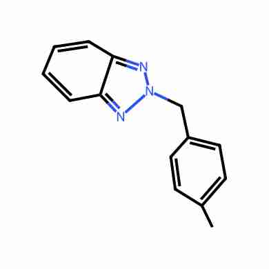 Cc1ccc(Cn2nc3ccccc3n2)cc1